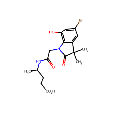 C[C@H](CCC(=O)O)NC(=O)CN1C(=O)C(C)(C)c2cc(Br)cc(O)c21